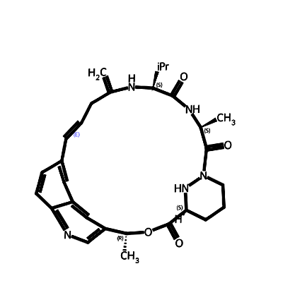 C=C1C/C=C/c2ccc3ncc(cc3c2)[C@@H](C)OC(=O)[C@@H]2CCCN(N2)C(=O)[C@H](C)NC(=O)[C@H](C(C)C)N1